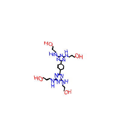 OCCCNc1nc(NCCCO)nc(C2CCC(c3nc(NCCCO)nc(NCCCO)n3)CC2)n1